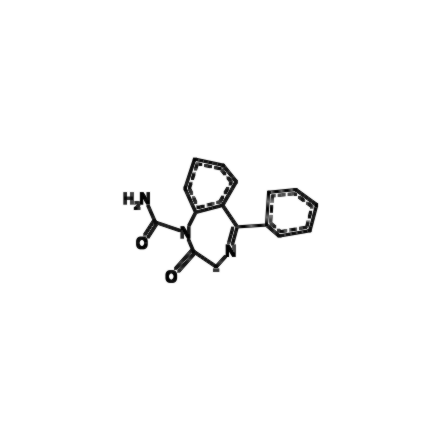 NC(=O)N1C(=O)[C]N=C(c2ccccc2)c2ccccc21